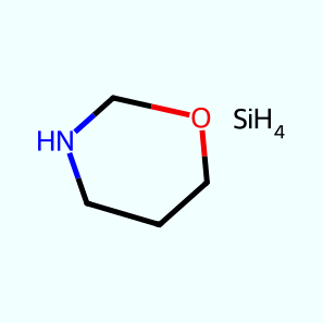 C1CNCOC1.[SiH4]